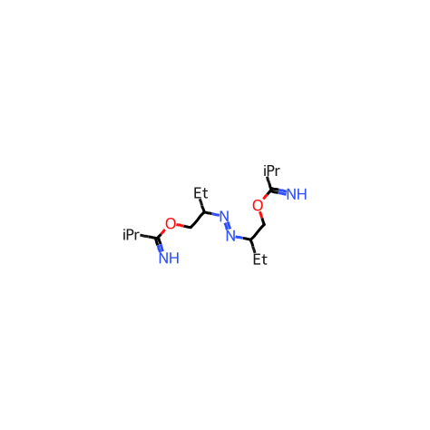 CCC(COC(=N)C(C)C)N=NC(CC)COC(=N)C(C)C